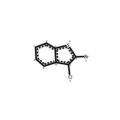 Clc1c(Br)sc2ccccc12